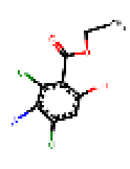 CCOC(=O)c1c(O)cc(Cl)c(N)c1Cl